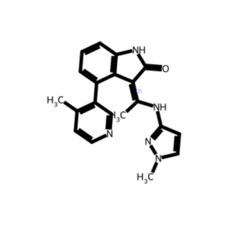 C/C(Nc1ccn(C)n1)=C1/C(=O)Nc2cccc(-c3cnccc3C)c21